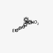 CCOCCOCCOc1ccc(N(C2=CC=CC=CC2)c2ccc([N+](=O)[O-])cc2)cc1